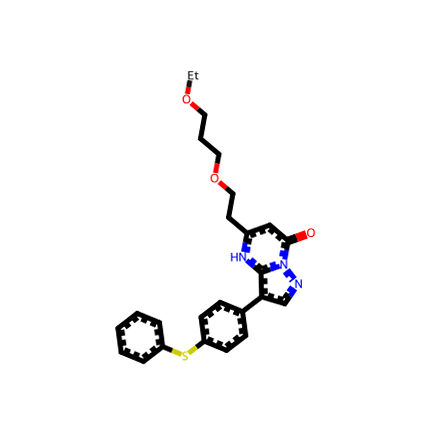 CCOCCCOCCc1cc(=O)n2ncc(-c3ccc(Sc4ccccc4)cc3)c2[nH]1